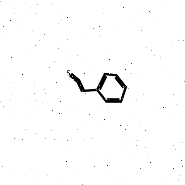 S=C=Cc1ccccc1